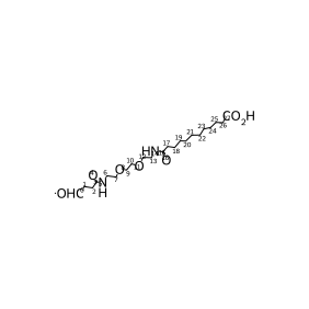 O=[C]CCC(=O)NCCOCCOCCNC(=O)CCCCCCCCCCC(=O)O